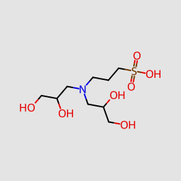 O=S(=O)(O)CCCN(CC(O)CO)CC(O)CO